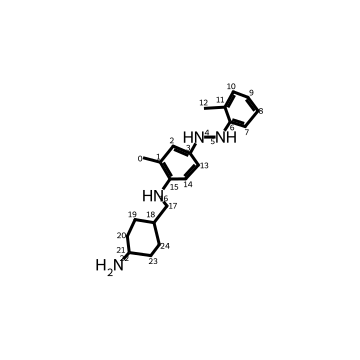 Cc1cc(NNc2ccccc2C)ccc1NCC1CCC(N)CC1